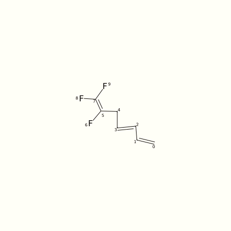 C=CC=CCC(F)=C(F)F